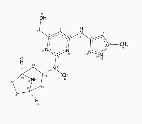 Cc1cc(Nc2cc(CO)nc(N(C)[C@@H]3C[C@H]4CC[C@@H](C3)N4)n2)n[nH]1